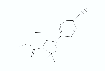 C#Cc1ccc([C@H]2OC(C)(C)N(C(=O)OC(C)(C)C)[C@@H]2CF)cc1